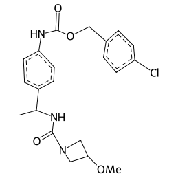 COC1CN(C(=O)NC(C)c2ccc(NC(=O)OCc3ccc(Cl)cc3)cc2)C1